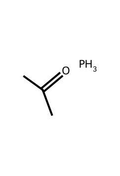 CC(C)=O.P